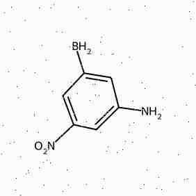 Bc1cc(N)cc([N+](=O)[O-])c1